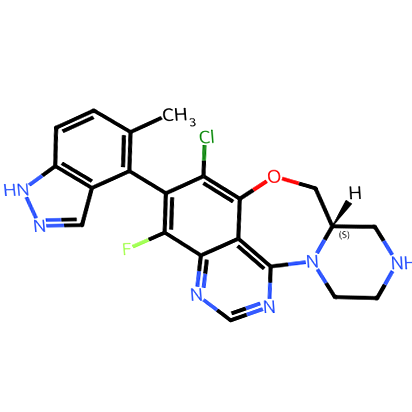 Cc1ccc2[nH]ncc2c1-c1c(Cl)c2c3c(ncnc3c1F)N1CCNC[C@H]1CO2